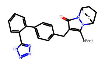 CCCCCc1c(Cc2ccc(-c3ccccc3-c3nnn[nH]3)cc2)c(=O)n2n1C1CCC2CC1